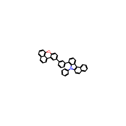 c1ccc(-n2c3ccc4ccccc4c3c3cccc(-c4cccc(-c5ccc6c(c5)-c5cccc7cccc(c57)O6)c4)c32)cc1